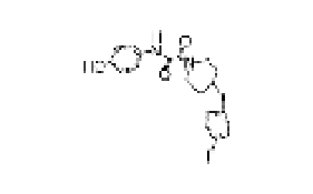 O=C(Nc1ccc(O)cc1)C(=O)N1CCC(Cc2ccc(F)cc2)CC1